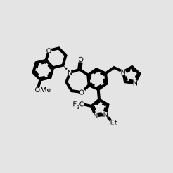 CCn1cc(-c2cc(Cn3ccnc3)cc3c2OCCN([C@H]2CCOc4ccc(OC)cc42)C3=O)c(C(F)(F)F)n1